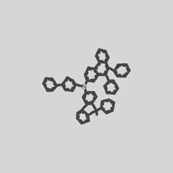 CC1(c2ccccc2)c2ccccc2-c2cc(N(c3ccc(-c4ccccc4)cc3)c3ccc4c(c3)c(-c3ccccc3)c(-c3ccccc3)c3ccccc34)ccc21